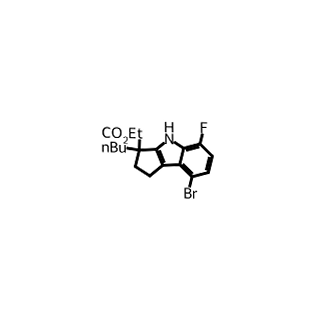 CCCCC1(C(=O)OCC)CCc2c1[nH]c1c(F)ccc(Br)c21